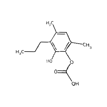 CCCc1c(C)cc(C)c(OC(=O)O)c1O